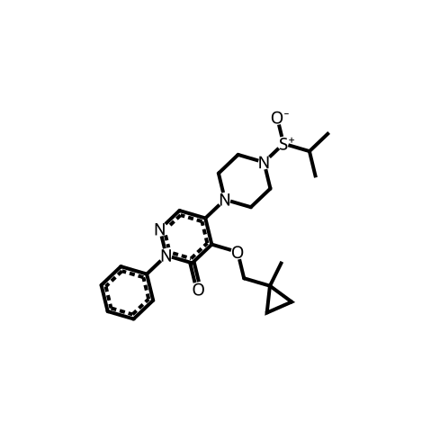 CC(C)[S+]([O-])N1CCN(c2cnn(-c3ccccc3)c(=O)c2OCC2(C)CC2)CC1